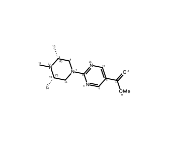 COC(=O)c1cnc(N2C[C@@H](C)N(C)[C@@H](C)C2)nc1